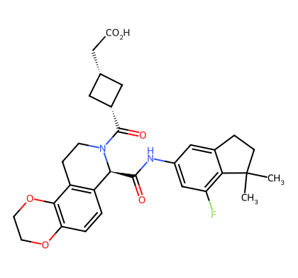 CC1(C)CCc2cc(NC(=O)[C@H]3c4ccc5c(c4CCN3C(=O)[C@H]3C[C@@H](CC(=O)O)C3)OCCO5)cc(F)c21